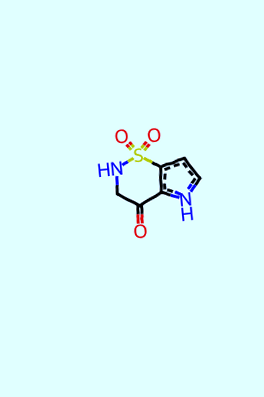 O=C1CNS(=O)(=O)c2cc[nH]c21